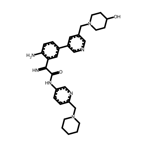 N=C(C(=O)Nc1ccc(CN2CCCCC2)nc1)c1cc(-c2cncc(CN3CCC(O)CC3)c2)ccc1N